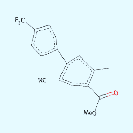 COC(=O)c1cc(C#N)c(-c2ccc(C(F)(F)F)cc2)cc1C